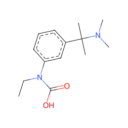 CCN(C(=O)O)c1cccc(C(C)(C)N(C)C)c1